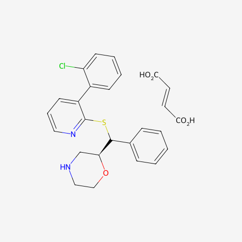 Clc1ccccc1-c1cccnc1SC(c1ccccc1)[C@@H]1CNCCO1.O=C(O)/C=C/C(=O)O